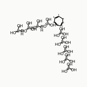 C1=CC=CCC=C1.OB(O)O.OB(O)O.OB(O)O.OB(O)O.OB(O)O.OB(O)O.OB(O)O.OB(O)O.OB(O)O